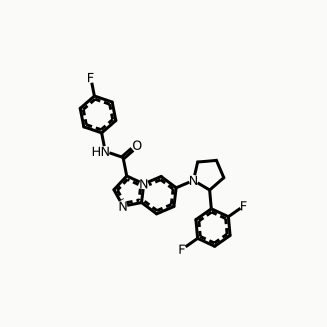 O=C(Nc1ccc(F)cc1)c1cnc2ccc(N3CCCC3c3cc(F)ccc3F)cn12